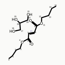 CCCCOC(=O)/C=C/C(=O)OCCCC.OCC(O)CO